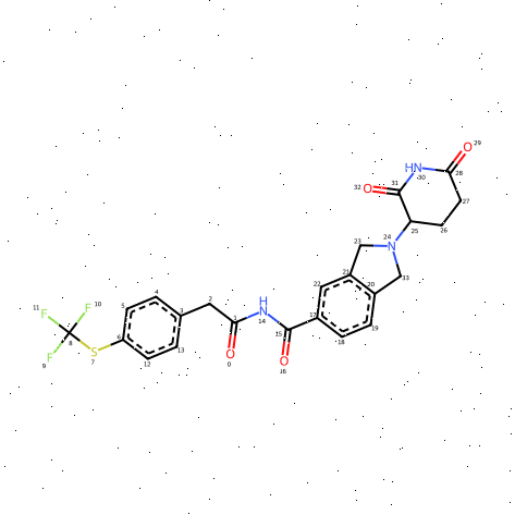 O=C(Cc1ccc(SC(F)(F)F)cc1)NC(=O)c1ccc2c(c1)CN(C1CCC(=O)NC1=O)C2